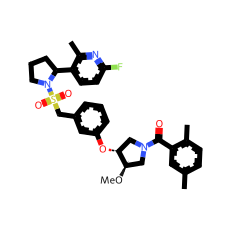 CO[C@@H]1CN(C(=O)c2cc(C)ccc2C)C[C@H]1Oc1cccc(CS(=O)(=O)N2CCCC2c2ccc(F)nc2C)c1